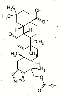 CC(=O)OC[C@]1(C)c2oncc2C[C@]2(C)C3=CC(=O)[C@@H]4[C@@H]5CC(C)(C)CC[C@]5(C(=O)O)CC[C@@]4(C)[C@]3(C)CC[C@H]21